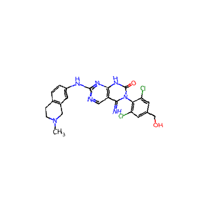 CN1CCc2ccc(Nc3ncc4c(=N)n(-c5c(Cl)cc(CO)cc5Cl)c(=O)[nH]c4n3)cc2C1